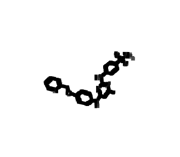 Cc1cc(Nc2ccc(OCc3ccccn3)cc2)nc(Nc2ccc(S(N)(=O)=O)cc2)n1